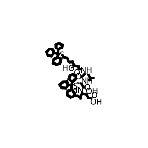 CC(C)C[C@@H](NC(=O)C[C@@H](O)C=CCCSC(c1ccccc1)(c1ccccc1)c1ccccc1)C(=O)N[C@H](CSC(c1ccccc1)(c1ccccc1)c1ccccc1)C(=O)N[C@H](C(C)C)[C@@H](O)CC(=O)O